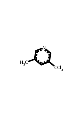 Cc1cncc(C(Cl)(Cl)Cl)c1